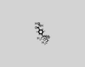 CCS(=O)(=O)NC(C)c1ccc(C(=O)NO)cc1